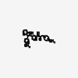 Cc1ccc(-c2c(-c3ccnc(NC(=O)CN4CCN(C)CC4)c3)[nH]c3cccnc23)cn1